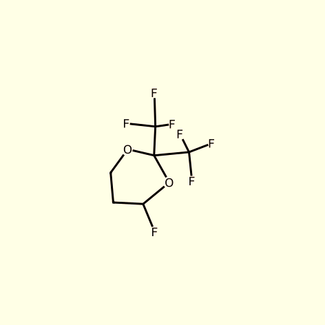 FC1CCOC(C(F)(F)F)(C(F)(F)F)O1